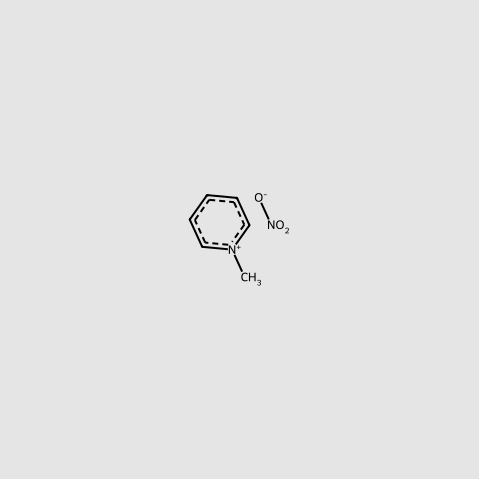 C[n+]1ccccc1.O=[N+]([O-])[O-]